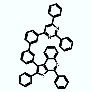 c1ccc(-c2cc(-c3cccc(-c4cccc(-c5c(-c6ccccc6)sc6c(-c7ccccc7)nc7ccccc7c56)c4)c3)nc(-c3ccccc3)n2)cc1